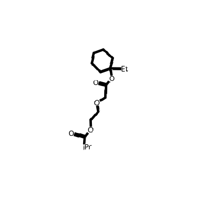 CCC1(OC(=O)COCCOC(=O)C(C)C)CCCCC1